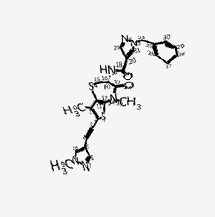 Cc1c(C#Cc2cnn(C)c2)sc2c1SC[C@H](NC(=O)c1cnn(Cc3ccccc3)c1)C(=O)N2C